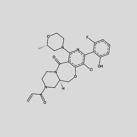 C=CC(=O)N1CCN2C(=O)c3c(N4CCO[C@@H](C)C4)nc(-c4c(O)cccc4F)c(Cl)c3OC[C@H]2C1